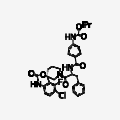 CC(C)OC(=O)Nc1ccc(C(=O)NC(Cc2ccccc2)C(=O)N2CCC[C@@]3(C2)OC(=O)Nc2ccc(Cl)c(F)c23)cc1